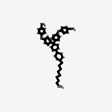 CCCCCCCCCC1CCC(C2CCC(c3ccc(Oc4ccc(N)cc4)cc3)(c3ccc(Oc4ccc(N)cc4)cc3)CC2)CC1